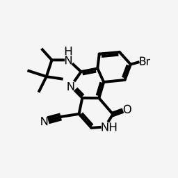 CC(Nc1nc2c(C#N)c[nH]c(=O)c2c2cc(Br)ccc12)C(C)(C)C